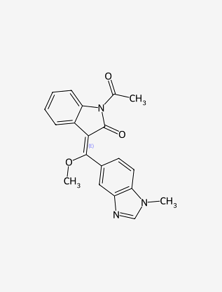 CO/C(=C1/C(=O)N(C(C)=O)c2ccccc21)c1ccc2c(c1)ncn2C